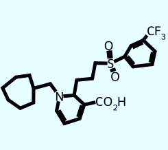 O=C(O)C1=CC=CN(CC2CCCCCC2)C1CCCS(=O)(=O)c1cccc(C(F)(F)F)c1